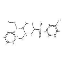 C[CH]CN1CCC(S(=O)(=O)c2cccc(F)c2)CC1Cc1ccccc1